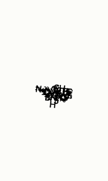 COC1=C(C)N(c2cccc(C(F)(F)F)c2)C(=S)N[C@@H]1c1ccc(C#N)cc1Br